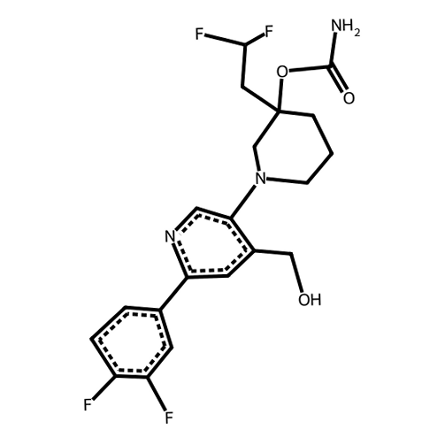 NC(=O)OC1(CC(F)F)CCCN(c2cnc(-c3ccc(F)c(F)c3)cc2CO)C1